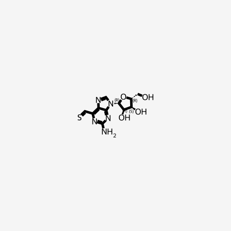 Nc1nc(C=S)c2ncn([C@@H]3O[C@H](CO)[C@@H](O)[C@H]3O)c2n1